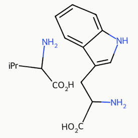 CC(C)C(N)C(=O)O.NC(Cc1c[nH]c2ccccc12)C(=O)O